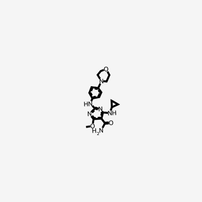 COc1nc(Nc2ccc(N3CCOCC3)cc2)nc(NC2CC2)c1C(N)=O